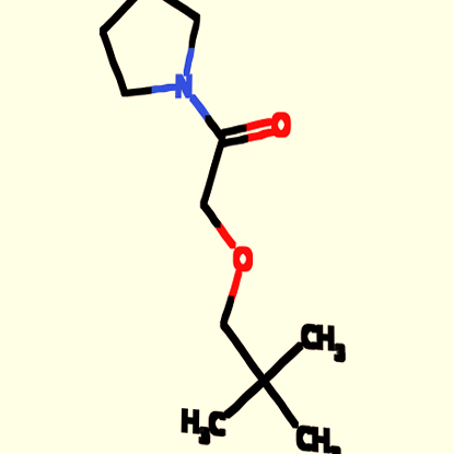 CC(C)(C)COCC(=O)N1CCCC1